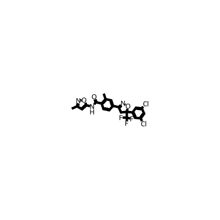 Cc1cc(NC(=O)c2ccc(C3=NOC(c4cc(Cl)cc(Cl)c4)(C(F)(F)F)C3)cc2C)on1